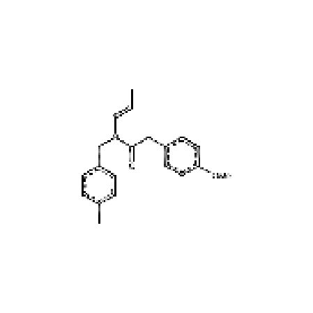 CC=CN(Cc1ccc(C)cc1)C(=O)Cc1ccc(OC)cc1